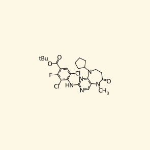 CN1C(=O)CCN(C2CCCC2)c2nc(Nc3c(Cl)cc(C(=O)OC(C)(C)C)c(F)c3Cl)ncc21